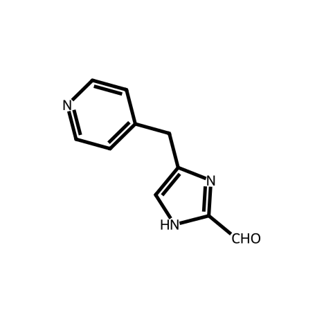 O=Cc1nc(Cc2ccncc2)c[nH]1